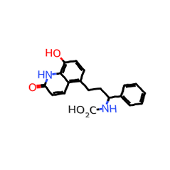 O=C(O)N[C](CCc1ccc(O)c2[nH]c(=O)ccc12)c1ccccc1